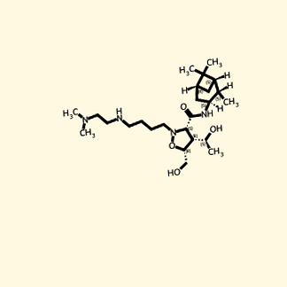 C[C@@H]1[C@@H](NC(=O)[C@@H]2[C@H]([C@H](C)O)[C@H](CO)ON2CCCCNCCN(C)C)C[C@H]2C[C@@H]1C2(C)C